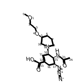 COCCO[C@H]1CCCN([C@@H]2C=C(C(=O)O)C[C@H](N=[N+]=[N-])[C@H]2NC(C)=O)C1